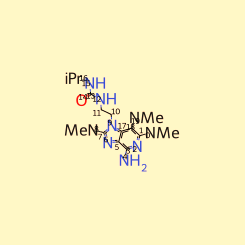 CNc1nc(N)c2nc(NC)n(CCNC(=O)NC(C)C)c2c1NC